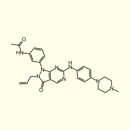 C=CCn1c(=O)c2cnc(Nc3ccc(N4CCN(C)CC4)cc3)nc2n1-c1cccc(NC(C)=O)c1